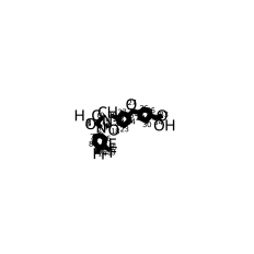 CC1(C)C(=O)N(c2ccc(F)c(C(F)(F)F)c2)C(=O)N1Cc1cccc(C(=O)c2ccc(C(=O)O)cc2)c1